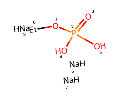 CCOP(=O)(O)O.[NaH].[NaH].[NaH]